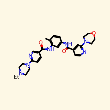 CCN1CCN(c2ccc(C(=O)Nc3cc(NC(=O)c4ccnc(N5CCOCC5)c4)ccc3C)cn2)CC1